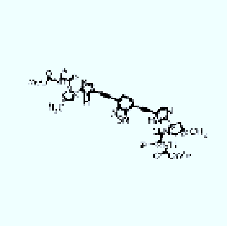 COC(=O)N[C@H](C(=O)N1C[C@@H](C)C[C@H]1c1ncc(C#Cc2ccc(C#Cc3cnc([C@@H]4C[C@H](C)CN4C(=O)[C@@H](NC(=O)OC)C(C)C)[nH]3)c3nsnc23)[nH]1)C(C)C